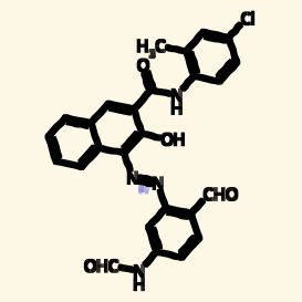 Cc1cc(Cl)ccc1NC(=O)c1cc2ccccc2c(/N=N/c2cc(NC=O)ccc2C=O)c1O